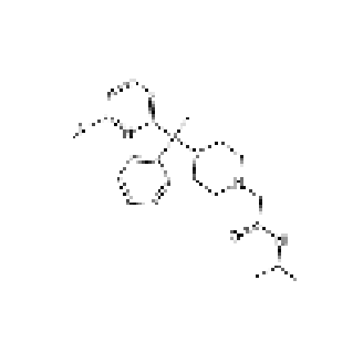 CC(C)NC(=O)CN1CCN(C(C)(c2ccccc2)c2cccc(N)n2)CC1